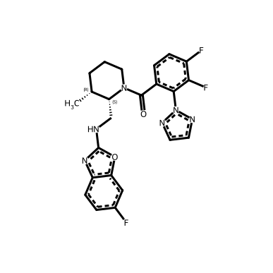 C[C@@H]1CCCN(C(=O)c2ccc(F)c(F)c2-n2nccn2)[C@@H]1CNc1nc2ccc(F)cc2o1